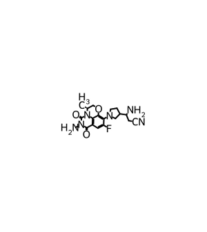 C[C@H]1COc2c(N3CCC(C(N)CC#N)C3)c(F)cc3c(=O)n(N)c(=O)n1c23